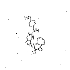 Cc1cnc(Nc2ccc(O)cc2)nc1Nn1c(=O)oc2ccccc21